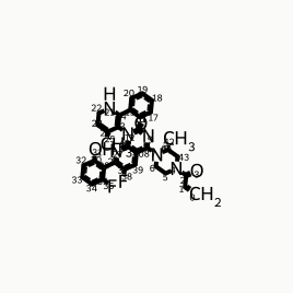 C=CC(=O)N1CCN(c2nc(=O)n(C3=C(c4ccccc4)NCC=C3C)c3nc(-c4c(O)cccc4F)c(F)cc23)[C@@H](C)C1